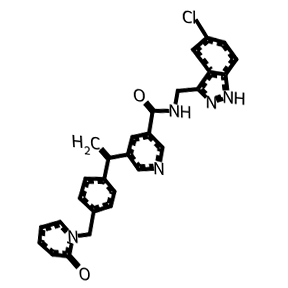 C=C(c1ccc(Cn2ccccc2=O)cc1)c1cncc(C(=O)NCc2n[nH]c3ccc(Cl)cc23)c1